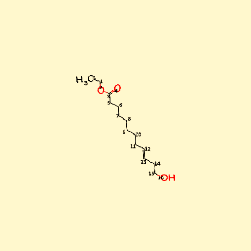 CCOC(=O)CCCCCCCC=CCCO